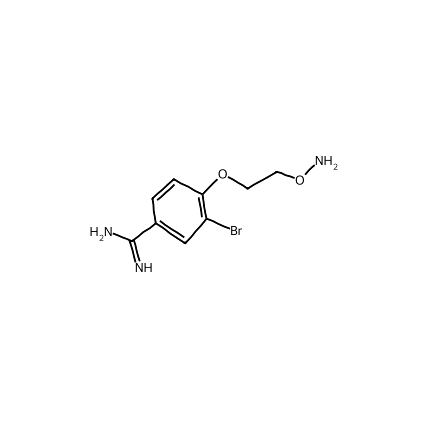 N=C(N)c1ccc(OCCON)c(Br)c1